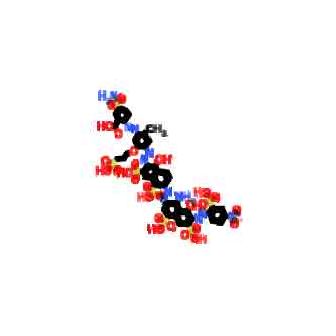 Cc1cc(N=Nc2c(S(=O)(=O)O)cc3c(S(=O)(=O)O)c(N=Nc4cc(S(=O)(=O)O)c5cc(S(=O)(=O)O)c(N=Nc6ccc([N+](=O)[O-])cc6S(=O)(=O)O)c(O)c5c4N)ccc3c2O)c(OCCCS(=O)(=O)O)cc1N=Nc1ccc(S(N)(=O)=O)cc1C(=O)O